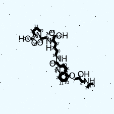 CC(C)NCC(O)COc1cccc2nc(C(=O)NCCCCC(N[C@@H](C)C(=O)N3CCC[C@H]3C(=O)O)C(=O)O)ccc12